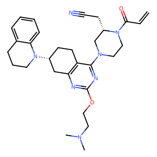 C=CC(=O)N1CCN(c2nc(OCCN(C)C)nc3c2CC[C@@H](N2CCCc4ccccc42)C3)C[C@@H]1CC#N